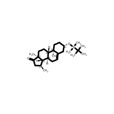 C[C@H]1CC(=O)[C@@]2(C)CC[C@H]3[C@@H](CC=C4C[C@@H](O[Si](C)(C)C(C)(C)C)CC[C@@]43C)[C@H]12